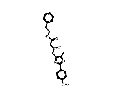 COc1ccc(-c2nc(C[S+]([O-])CC(=O)NCCc3ccccc3)c(C)o2)cc1